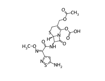 CO/N=C(\C(=O)N[C@@H]1C(=O)N2C(OC(=O)O)=C(COC(C)=O)CS[C@@H]12)c1cc(N)sn1